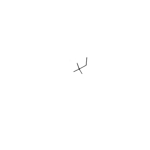 O=CCC(Cl)(Cl)Cl.[Ti]